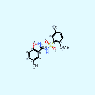 CCc1ccc(OC)c(S(=O)(=O)Nc2noc3ccc(C#N)cc23)c1